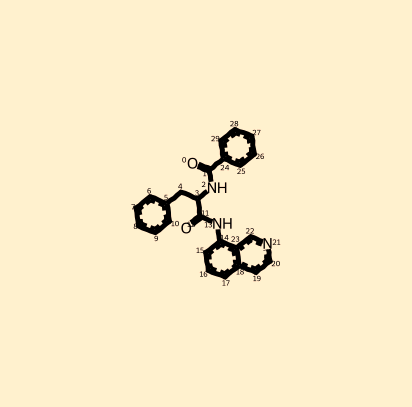 O=C(NC(Cc1ccccc1)C(=O)Nc1cccc2ccncc12)c1ccccc1